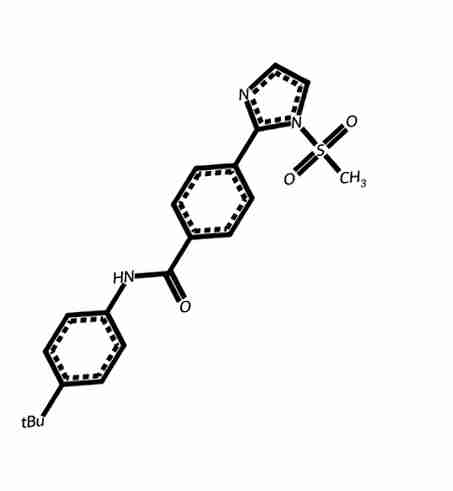 CC(C)(C)c1ccc(NC(=O)c2ccc(-c3nccn3S(C)(=O)=O)cc2)cc1